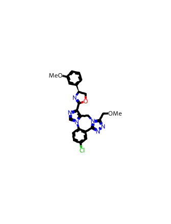 COCc1nnc2n1Cc1c(C3=N[C@@H](c4cccc(OC)c4)CO3)ncn1-c1ccc(Cl)cc1-2